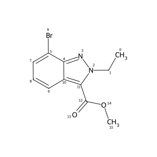 CCn1nc2c(Br)cccc2c1C(=O)OC